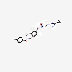 O=C(N[C@@H](CCn1cc(C2CC2)nn1)C(=O)O)c1c(Cl)cc2c(c1Cl)CCN(C(=O)c1ccc(Cl)cc1)C2